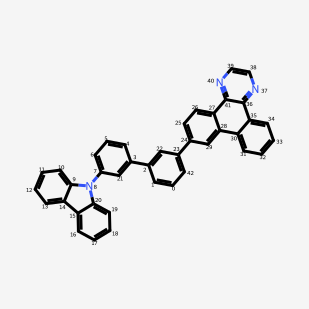 c1cc(-c2cccc(-n3c4ccccc4c4ccccc43)c2)cc(-c2ccc3c(c2)c2ccccc2c2nccnc32)c1